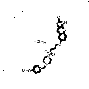 COc1ccc(CN2CCN(S(=O)(=O)CCCOc3ccc4nc5[nH]c(=O)[nH]c5cc4c3)CC2)cc1.Cl.Cl